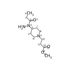 CCC(=O)N(N)C1CCN(CCC(=O)OC)CC1